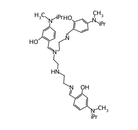 CC(C)N(C)c1ccc(C=NCCNCC[N+](=Cc2ccc(N(C)C(C)C)cc2O)CCN=Cc2ccc(N(C)C(C)C)cc2O)c(O)c1